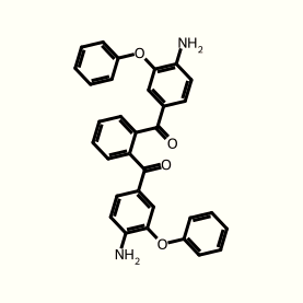 Nc1ccc(C(=O)c2ccccc2C(=O)c2ccc(N)c(Oc3ccccc3)c2)cc1Oc1ccccc1